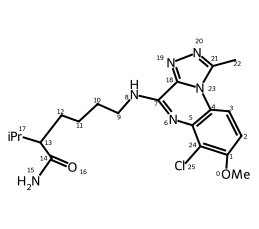 COc1ccc2c(nc(NCCCCC(C(N)=O)C(C)C)c3nnc(C)n32)c1Cl